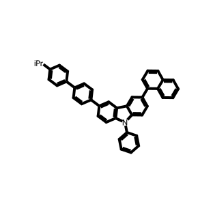 CC(C)c1ccc(-c2ccc(-c3ccc4c(c3)c3cc(-c5cccc6ccccc56)ccc3n4-c3ccccc3)cc2)cc1